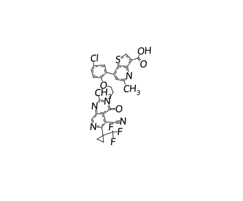 Cc1cc(-c2cc(Cl)ccc2OCCn2c(C)nc3cnc(C4(C(F)(F)F)CC4)c(C#N)c3c2=O)c2scc(C(=O)O)c2n1